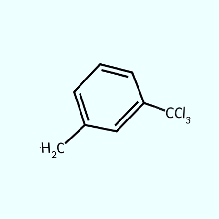 [CH2]c1cccc(C(Cl)(Cl)Cl)c1